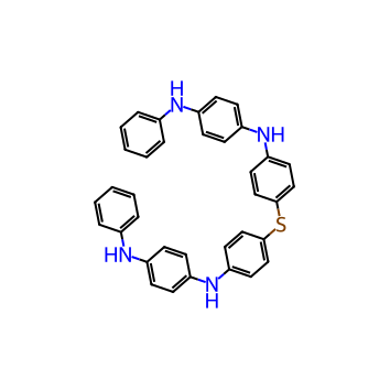 c1ccc(Nc2ccc(Nc3ccc(Sc4ccc(Nc5ccc(Nc6ccccc6)cc5)cc4)cc3)cc2)cc1